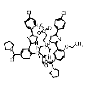 CCOc1ccc(C(=O)N2CCCC2)cc1C1=NC(c2ccc(Cl)cc2)CN1[C@H]1CN(C=O)CC[N@@+]1(CCS(C)(=O)=O)N1CC(c2ccc(Cl)cc2)N=C1c1cc(C(=O)N2CCCC2)ccc1OCC